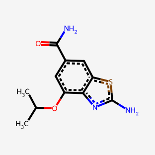 CC(C)Oc1cc(C(N)=O)cc2sc(N)nc12